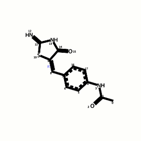 CC(=O)Nc1ccc(/C=C2/SC(=N)NC2=O)cc1